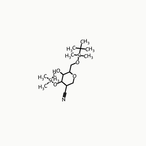 CC(C)(C)[Si](C)(C)OCC1OCC(C#N)C(O[Si](C)(C)C)C1O